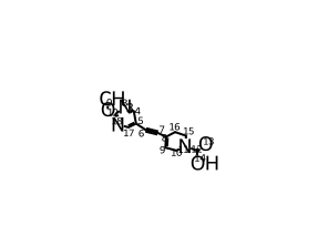 COc1ncc(C#CC2=CCN(C(=O)O)CC2)cn1